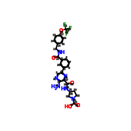 Nc1ncc(-c2cccc(C(=O)NCc3ccc(OC(F)(F)F)cc3)c2)nc1C(=O)N[C@H]1CCN(C(=O)O)C1